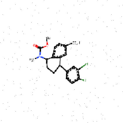 CN(C(=O)OC(C)(C)C)C1CCC(c2ccc(Cl)c(Cl)c2)c2cc(C(=O)O)ccc21